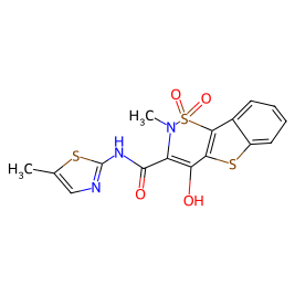 Cc1cnc(NC(=O)C2=C(O)c3sc4ccccc4c3S(=O)(=O)N2C)s1